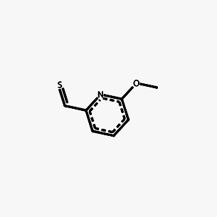 COc1cccc(C=S)n1